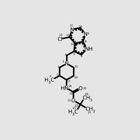 CC1CN(Cc2c[nH]c3ncnc(Cl)c23)CCC1NC(=O)OC(C)(C)C